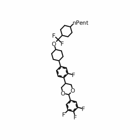 CCCCCC1CCC(C(F)(F)OC2CCC(c3ccc(C4COC(c5cc(F)c(F)c(F)c5)OC4)c(F)c3)CC2)CC1